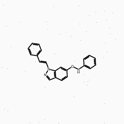 C(=Cn1ncc2ccc(ONc3ccccc3)cc21)c1ccccc1